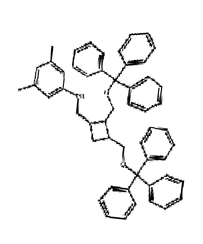 Cc1cc(C)cc(PCC2CC(COC(c3ccccc3)(c3ccccc3)c3ccccc3)C2COC(c2ccccc2)(c2ccccc2)c2ccccc2)c1